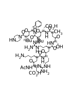 CC[C@H](C)[C@H](CC(=O)[C@H](CC(=O)O)NC(=O)[C@H](C)CC(=O)[C@H](CO)NC(=O)[C@H](CCCNC(=N)N)CC(=O)[C@H](CCCNC(=N)N)NC(=O)[C@H](CCCCN)CC(=O)[C@H](CCC(=O)O)NC(C)=O)C(=O)N[C@@H](Cc1ccccc1)C(=O)C[C@H](C(=O)N1CCNCC1)[C@@H](C)CC